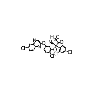 CCC(=O)C(C#N)(Oc1cc(Oc2cnc3cc(Cl)ccc3n2)ccc1Cl)c1ccc(Cl)cc1Cl